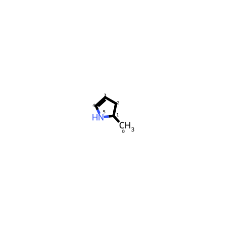 CC1CC=CN1